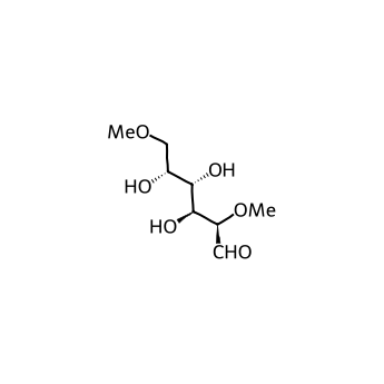 COC[C@@H](O)[C@H](O)[C@H](O)[C@H](C=O)OC